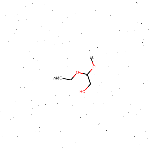 CCOC(CO)OCOC